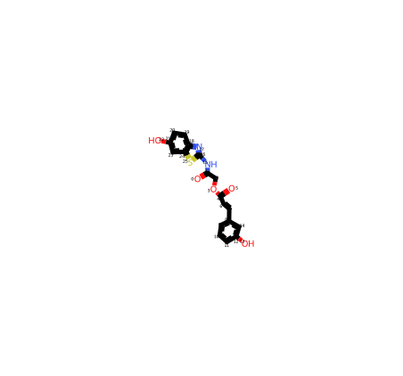 O=C(COC(=O)/C=C/c1cccc(O)c1)Nc1nc2ccc(O)cc2s1